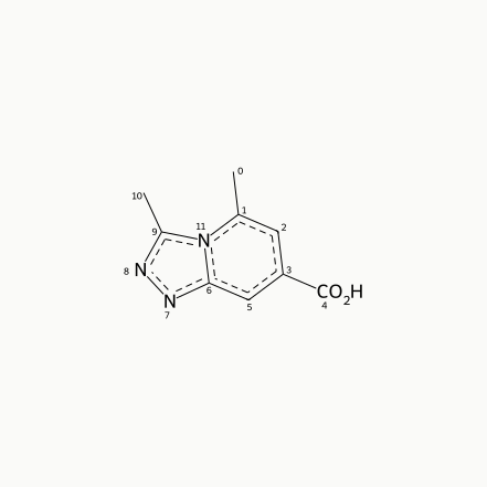 Cc1cc(C(=O)O)cc2nnc(C)n12